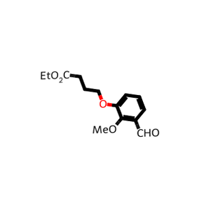 CCOC(=O)CCCOc1cccc(C=O)c1OC